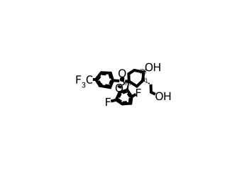 O=S(=O)(c1ccc(C(F)(F)F)cc1)[C@]1(c2cc(F)ccc2F)CC[C@@H](O)[C@H](CCO)C1